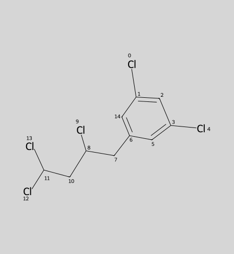 Clc1cc(Cl)cc(CC(Cl)CC(Cl)Cl)c1